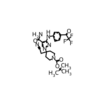 CC(C)(C)OC(=O)N1CCC(CC#N)(n2cc(C(N)=O)c(Nc3ccc(C(=O)C(F)(F)F)cc3)n2)CC1